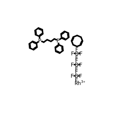 C1=C\CC/C=C\CC/1.F[B-](F)(F)F.F[B-](F)(F)F.F[B-](F)(F)F.[Rh+3].c1ccc(P(CCCCP(c2ccccc2)c2ccccc2)c2ccccc2)cc1